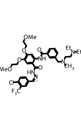 CCN(CC)CCN(C)Cc1cccc(C(=O)Nc2cc(OCCOC)c(OCCOC)cc2C(=O)N/N=C\c2ccc(Cl)c(C(F)(F)F)c2)c1